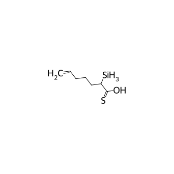 C=CCCCC([SiH3])C(O)=S